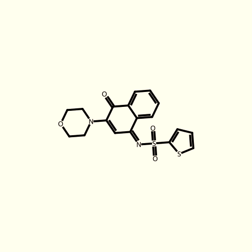 O=C1C(N2CCOCC2)=C/C(=N/S(=O)(=O)c2cccs2)c2ccccc21